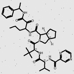 CCCC(NC(=O)C1[C@H]2CCC[C@H]2CN1C(=O)[C@@H](NC(=O)[C@H](NC(=O)c1cnccn1)C(C)C)C(C)(C)C)C(=O)C(=O)NC(C)c1ccccc1